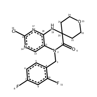 O=C1N(Cc2ccc(F)cc2F)c2cnc(Cl)nc2NC12CCOCC2